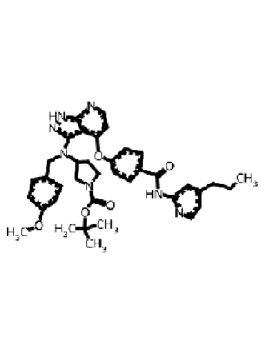 CCCc1ccnc(NC(=O)c2ccc(Oc3ccnc4[nH]nc(N(Cc5ccc(OC)cc5)C5CCN(C(=O)OC(C)(C)C)C5)c34)cc2)c1